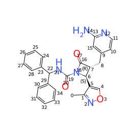 Cc1nocc1[C@@H]1[C@@H](Cc2ccnc(N)c2)C(=O)N1C(=O)NC(c1ccccc1)c1ccccc1